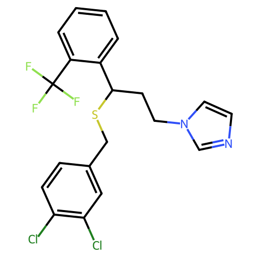 FC(F)(F)c1ccccc1C(CCn1ccnc1)SCc1ccc(Cl)c(Cl)c1